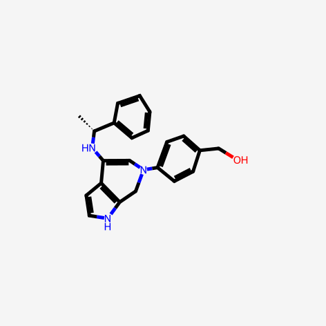 C[C@@H](NC1=CN(c2ccc(CO)cc2)Cc2[nH]ccc21)c1ccccc1